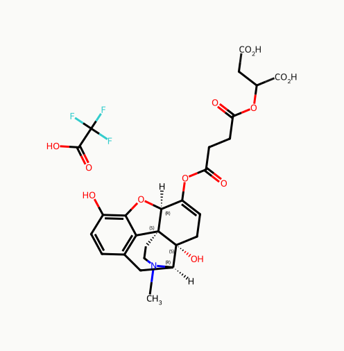 CN1CC[C@]23c4c5ccc(O)c4O[C@H]2C(OC(=O)CCC(=O)OC(CC(=O)O)C(=O)O)=CC[C@@]3(O)[C@H]1C5.O=C(O)C(F)(F)F